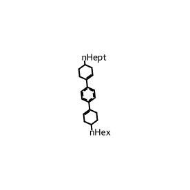 CCCCCCCC1CC=C(c2ccc(C3=CCC(CCCCCC)CC3)cc2)CC1